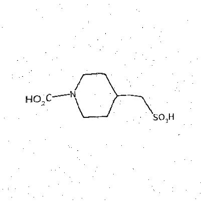 O=C(O)N1CCC(CS(=O)(=O)O)CC1